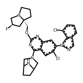 F[C@H]1CN2CCC[C@@]2(COc2nc(N3CC4CCC(C3)N4)c3cc(Cl)c(-n4ncc5cccc(Cl)c54)cc3n2)C1